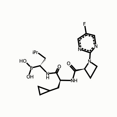 CC(C)C[C@H](NC(=O)[C@H](CC1CC1)NC(=O)[C@@H]1CCN1c1ncc(F)cn1)B(O)O